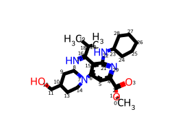 COC(=O)c1cc(N2CCC(CO)CC2)c(C(=N)C(C)C)c(NC2CCCCC2)n1